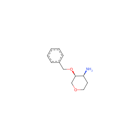 N[C@H]1CCOC[C@H]1OCc1ccccc1